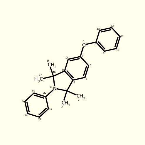 CC1(C)c2ccc(Oc3ccccc3)cc2C(C)(C)N1c1ccccc1